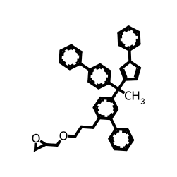 CC(C1=CC(c2ccccc2)C=C1)(c1ccc(-c2ccccc2)cc1)c1ccc(CCCOCC2CO2)c(-c2ccccc2)c1